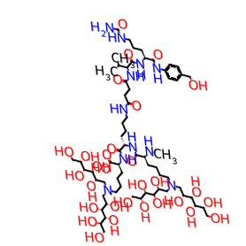 CN[C@@H](CCCCN(C[C@H](O)[C@@H](O)[C@H](O)[C@H](O)CO)C[C@H](O)[C@@H](O)[C@H](O)[C@H](O)CO)C(=O)N[C@@H](CCCCNC(=O)CCC(=O)N[C@H](C(=O)N[C@@H](CCCNC(N)=O)C(=O)Nc1ccc(CO)cc1)C(C)C)C(=O)N[C@@H](CCCCN(C[C@H](O)[C@@H](O)[C@H](O)[C@H](O)CO)C[C@H](O)[C@@H](O)[C@H](O)[C@H](O)CO)C(=O)O